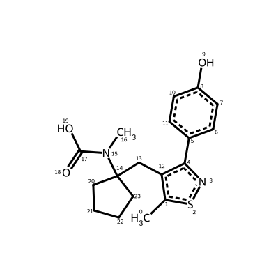 Cc1snc(-c2ccc(O)cc2)c1CC1(N(C)C(=O)O)CCCC1